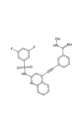 N=C(NO)c1cccc(C#Cc2cc(NS(=O)(=O)c3cc(F)cc(F)c3)nc3ccccc23)c1